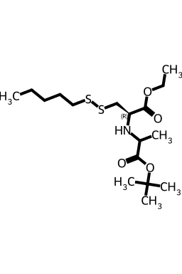 CCCCCSSC[C@H](NC(C)C(=O)OC(C)(C)C)C(=O)OCC